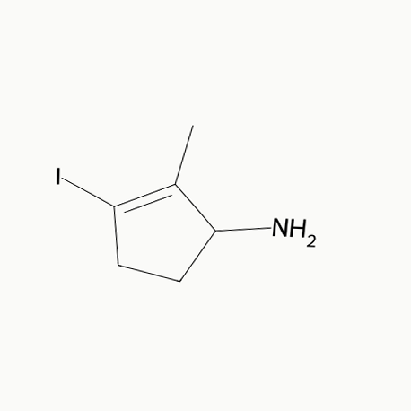 CC1=C(I)CCC1N